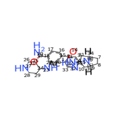 CC(=O)c1ccc(N2[C@@H]3CC[C@H]2C[C@@H](NC(=O)c2ccc(C(N)=O)c(NC4CCNCC4)c2)C3)nc1